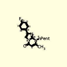 CCCCCn1c(C)cc(=O)n2cc(-c3ccc(F)cc3)nc12